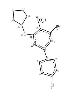 CC(C)c1nc(-c2ccc(Cl)cc2)nc(OC2CCCC2)c1C(=O)O